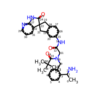 CC(N)c1ccccc1CN(CC(=O)Nc1ccc2c(c1)CC1(C2)C(=O)Nc2ncccc21)C(=O)C(C)(C)C